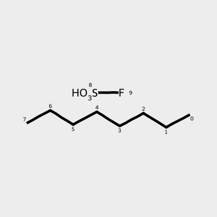 CCCCCCCC.O=S(=O)(O)F